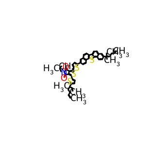 C/C=C\CCC(C)(CC)c1ccc(-c2sc(-c3ccc(-c4ccc5c(ccc6c7ccc8cc(C(C)(CC)CCCC)ccc8c7sc56)c4)s3)c3c2C(=O)N(CC(C)C)C3=O)s1